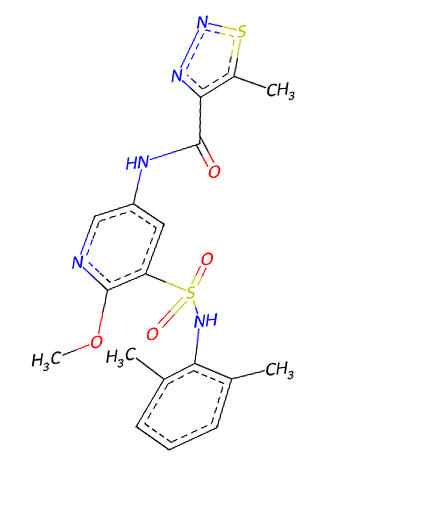 COc1ncc(NC(=O)c2nnsc2C)cc1S(=O)(=O)Nc1c(C)cccc1C